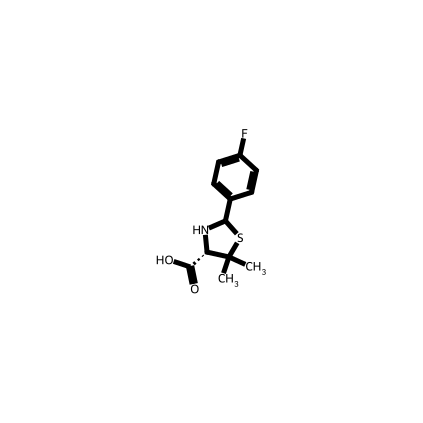 CC1(C)SC(c2ccc(F)cc2)N[C@H]1C(=O)O